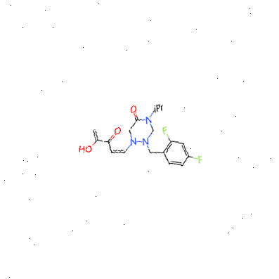 C=C(O)C(=O)/C=C\N1CC(=O)N(C(C)C)CN1Cc1ccc(F)cc1F